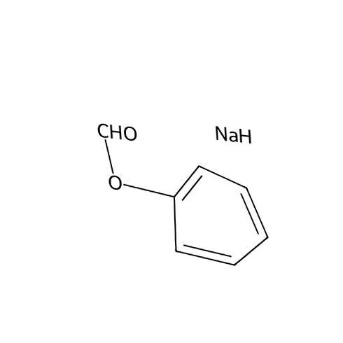 O=COc1ccccc1.[NaH]